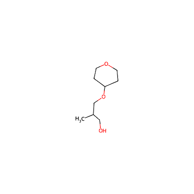 CC(CO)COC1CCOCC1